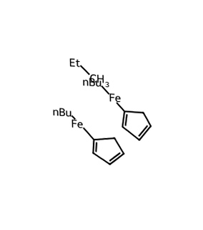 CCC.CCC[CH2][Fe][C]1=CC=CC1.CCC[CH2][Fe][C]1=CC=CC1